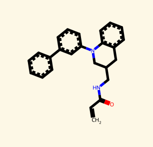 C=CC(=O)NCC1Cc2ccccc2N(c2cccc(-c3ccccc3)c2)C1